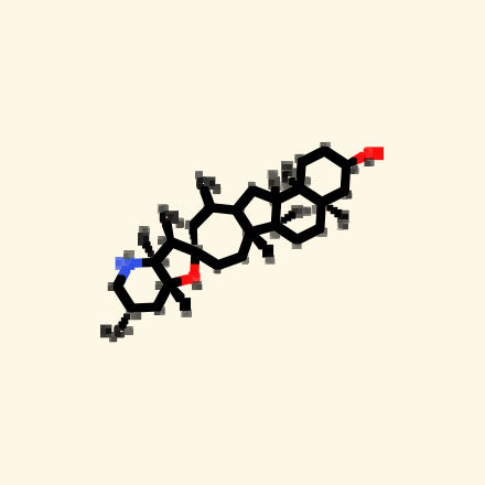 CC1C[C@]2(CC[C@@H]3C1C[C@H]1[C@H]3CC[C@@H]3C[C@H](O)CC[C@@]31C)O[C@@H]1C[C@H](C)CN[C@H]1[C@H]2C